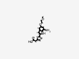 COCCOc1cc(N)c2[nH]c(C3=NCC(CC(=O)O)S3)cc2c1